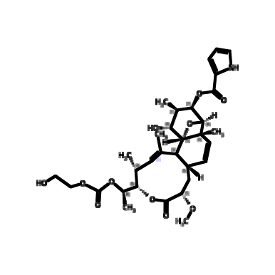 CO[C@H]1C[C@H]2C=C[C@]3(C)[C@H]4[C@H](O)[C@@H](C)[C@@H](OC(=O)c5ccc[nH]5)[C@@H]3O[C@@]24/C(C)=C/[C@@H](C)[C@@H]([C@@H](C)OC(=O)OCCO)OC1=O